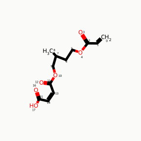 C=CC(=O)OCCC(C)COC(=O)/C=C\C(=O)O